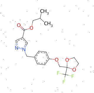 CC(C)COC(=O)c1cnn(Cc2ccc(OCC3(C(F)(F)F)OCCO3)cc2)c1